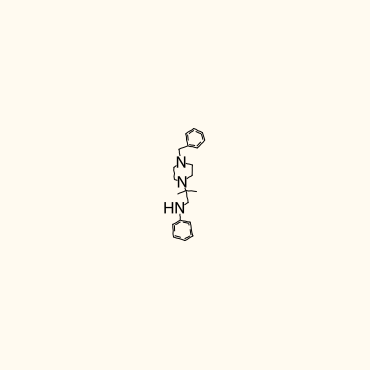 CC(C)(CNc1ccccc1)N1CCN(Cc2ccccc2)CC1